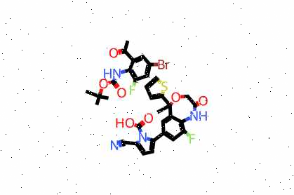 CC(=O)c1cc(Br)cc(F)c1NC(=O)OC(C)(C)C.CC1(c2cccs2)OCC(=O)Nc2c(F)cc(-c3ccc(C#N)n3C(=O)O)cc21